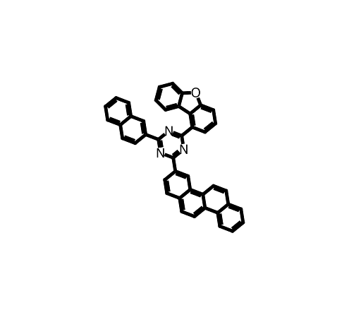 c1ccc2cc(-c3nc(-c4ccc5ccc6c7ccccc7ccc6c5c4)nc(-c4cccc5oc6ccccc6c45)n3)ccc2c1